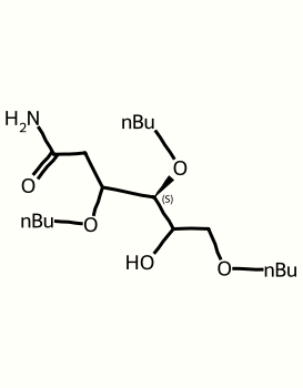 CCCCOCC(O)[C@H](OCCCC)C(CC(N)=O)OCCCC